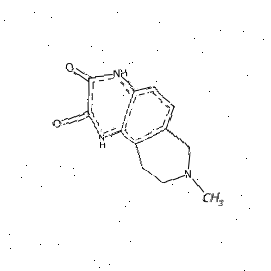 CN1CCc2c(ccc3[nH]c(=O)c(=O)[nH]c23)C1